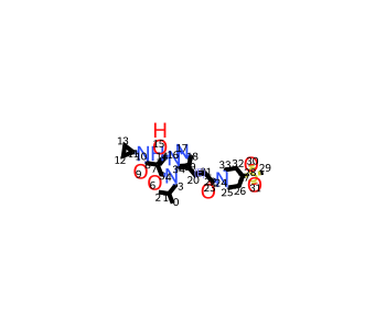 CC(C)Cn1c(=O)c(C(=O)NC2CC2)c(O)n2ncc(/C=C/C(=O)N3CCC(S(C)(=O)=O)CC3)c12